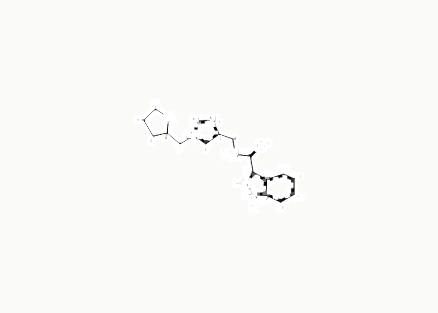 O=C(NCc1cn(CC2CCCO2)nn1)c1n[nH]c2ccccc12